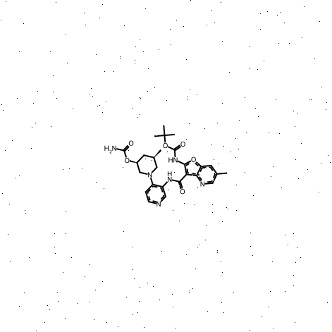 Cc1cnc2c(C(=O)Nc3cnccc3N3C[C@H](C)C[C@H](OC(N)=O)C3)c(NC(=O)OC(C)(C)C)oc2c1